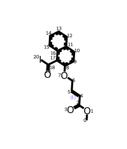 COC(=O)/C=C/COc1ccc2ccccc2c1C(=O)I